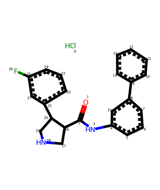 Cl.O=C(Nc1cccc(-c2ccccc2)c1)C1CNCC1c1cccc(F)c1